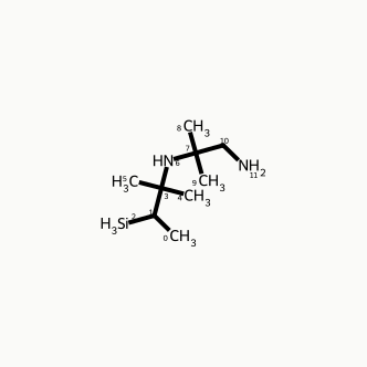 CC([SiH3])C(C)(C)NC(C)(C)CN